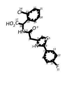 O=C(Cc1csc(-c2ccc(F)cc2)n1)NC(C(=O)O)c1ccccc1Cl